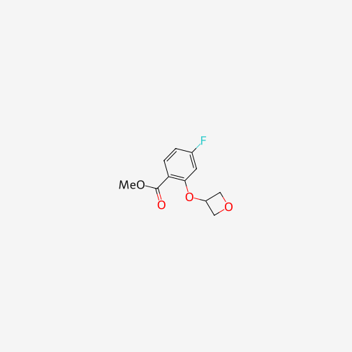 COC(=O)c1ccc(F)cc1OC1COC1